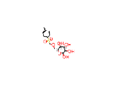 Cc1ccc(S(=O)(=O)COC[C@H]2O[C@H](O)[C@H](O)[C@@H](O)[C@@H]2O)cc1